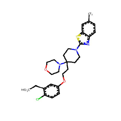 O=C(O)Cc1cc(OCCC2(N3CCOCC3)CCN(c3nc4ccc(C(F)(F)F)cc4s3)CC2)ccc1Cl